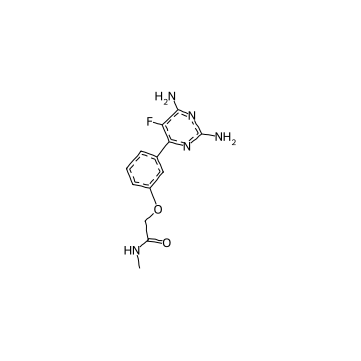 CNC(=O)COc1cccc(-c2nc(N)nc(N)c2F)c1